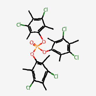 Cc1c(Cl)c(C)c(OP(=O)(Oc2c(C)c(Cl)c(C)c(Cl)c2C)Oc2c(C)c(Cl)c(C)c(Cl)c2C)c(C)c1Cl